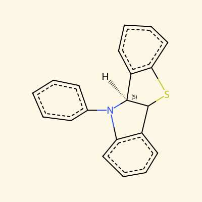 c1ccc(N2c3ccccc3C3Sc4ccccc4[C@@H]32)cc1